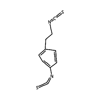 S=C=NCCc1ccc(N=C=S)cc1